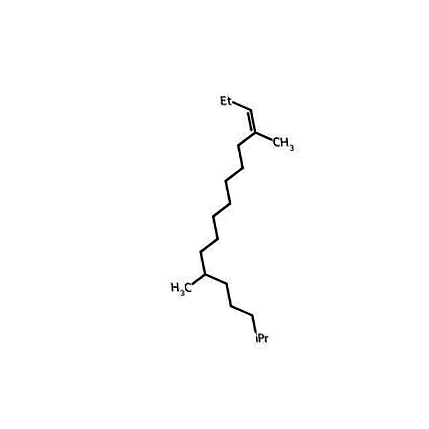 CCC=C(C)CCCCCCCC(C)CCCC(C)C